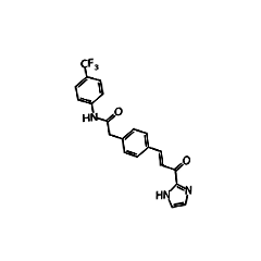 O=C(Cc1ccc(/C=C/C(=O)c2ncc[nH]2)cc1)Nc1ccc(C(F)(F)F)cc1